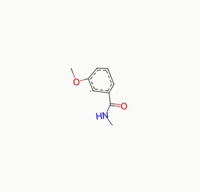 CNC(=O)c1[c]c(OC)ccc1